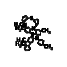 Cc1ccc(N2c3cc4c(cc3B3c5ccc6cc5N(c5cccc(c5)Sc5cccc(c5)[Si]6(C)C)c5cc(C)cc2c53)C(C)(C)c2ccccc2-4)cc1